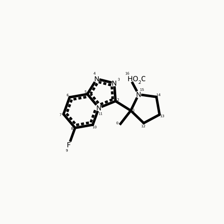 CC1(c2nnc3ccc(F)cn23)CCCN1C(=O)O